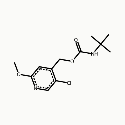 COc1cc(COC(=O)NC(C)(C)C)c(Cl)cn1